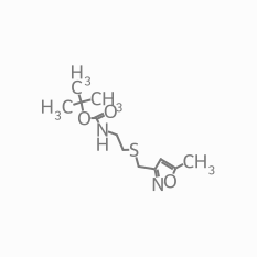 Cc1cc(CSCCNC(=O)OC(C)(C)C)no1